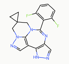 Fc1cccc(F)c1C1=Nc2cn[nH]c2-c2cnn3c2N1CC1(CC1)C3